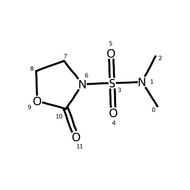 CN(C)S(=O)(=O)N1CCOC1=O